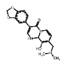 CN(C)CC1=C(O)C2NC=C(c3ccc4c(c3)OCO4)C(=O)N2C=C1